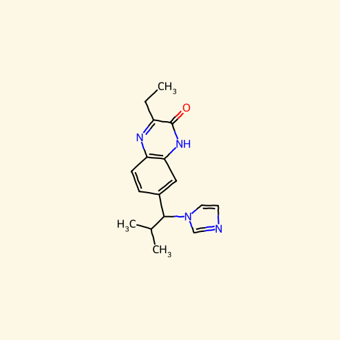 CCc1nc2ccc(C(C(C)C)n3ccnc3)cc2[nH]c1=O